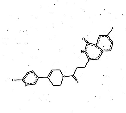 O=C(CCc1cc2ccc(F)cc2c(=O)[nH]1)N1CC=C(c2ccc(F)nc2)CC1